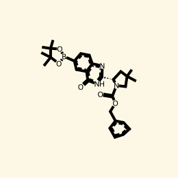 CC1(C)C[C@@H](c2nc3ccc(B4OC(C)(C)C(C)(C)O4)cc3c(=O)[nH]2)N(C(=O)OCc2ccccc2)C1